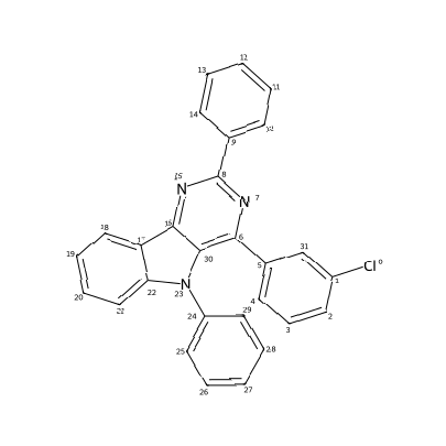 Clc1cccc(-c2nc(-c3ccccc3)nc3c4ccccc4n(-c4ccccc4)c23)c1